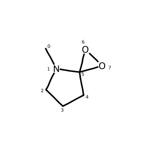 CN1CCCC12OO2